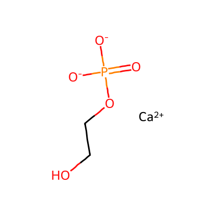 O=P([O-])([O-])OCCO.[Ca+2]